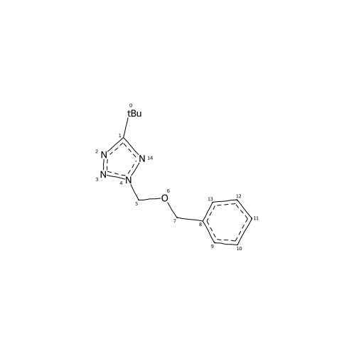 CC(C)(C)c1nnn(COCc2ccccc2)n1